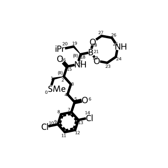 CSC[C@H](CCC(=O)c1cc(Cl)ccc1Cl)C(=O)N[C@@H](CC(C)C)B1OCCNCCO1